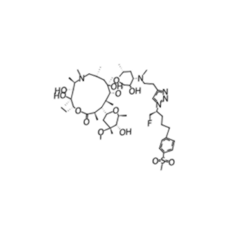 CC[C@H]1OC(=O)[C@H](C)[C@@H](C2C[C@@](C)(OC)[C@@H](O)[C@H](C)O2)[C@H](C)[C@@H](O[C@@H]2O[C@H](C)C[C@H](N(C)CCc3cn([C@H](CF)CCCc4ccc(S(C)(=O)=O)cc4)nn3)[C@H]2O)[C@](C)(O)C[C@@H](C)CN(C)[C@H](C)[C@@H](O)[C@]1(C)O